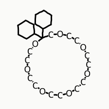 C1CCC(C2(C3CCCCC3)COCCOCCOCCOCCOCCOCCO2)CC1